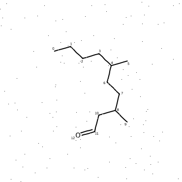 CCCCC(C)CCC(C)CC=O